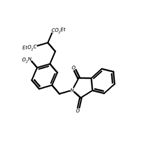 CCOC(=O)C(Cc1cc(CN2C(=O)c3ccccc3C2=O)ccc1[N+](=O)[O-])C(=O)OCC